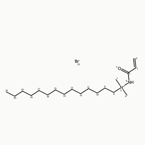 C=CC(=O)N[N+](C)(C)CCCCCCCCCCCCCC.[Br-]